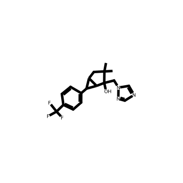 CC1(C)CC2C(c3ccc(C(F)(F)F)cc3)C2C1(O)Cn1cncn1